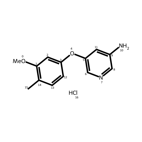 COc1cc(Oc2cncc(N)c2)ccc1C.Cl